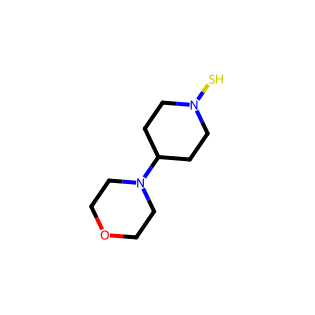 SN1CCC(N2CCOCC2)CC1